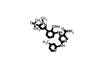 COc1c(Nc2cc(Nc3cc(C)ccn3)nnc2C(N)=O)cccc1-c1cc(P(C)(C)=O)n(C)n1